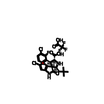 CC(C)(C)C[C@@H]1N[C@@H](C(=O)O)[C@H](c2cccc(Cl)c2F)[C@]12C(=O)Nc1cc(Cl)sc12.O=C(O)C(F)(F)F